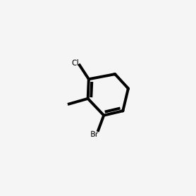 CC1=C(Cl)CCC=C1Br